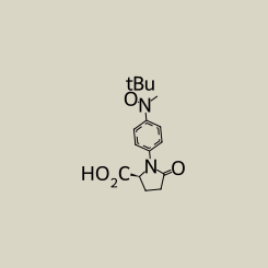 CN(OC(C)(C)C)c1ccc(N2C(=O)CC[C@H]2C(=O)O)cc1